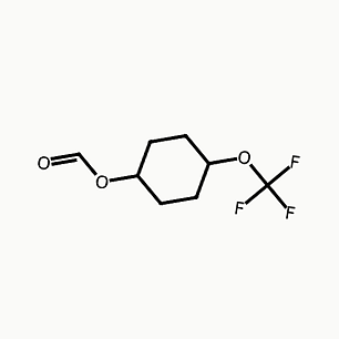 O=COC1CCC(OC(F)(F)F)CC1